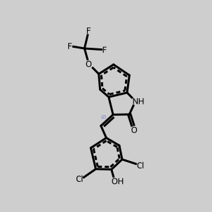 O=C1Nc2ccc(OC(F)(F)F)cc2/C1=C/c1cc(Cl)c(O)c(Cl)c1